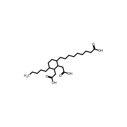 CCCCCC1CCC(CCCCCCCCC(=O)O)C(CC(=O)O)C1CC(=O)O